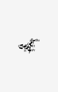 CCCC(F)(F)C[C@H](NC(=O)N1CCOCC1)C(=O)N[C@@H](CC)C(=O)c1noc(C(C)(C)C)n1